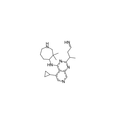 CC(CC=N)c1nc(NC2CCCNCC2(C)C)c2c(C3CC3)cncc2n1